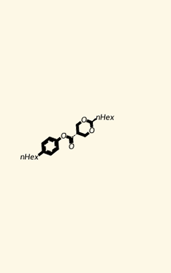 CCCCCCc1ccc(OC(=O)[C@H]2CO[C@H](CCCCCC)OC2)cc1